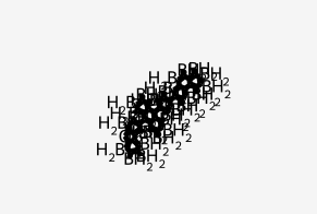 Bc1c(B)c(-c2c3c(B)c(B)c(B)c(B)c3c(-c3c(B)c(B)c4oc5c(B)c(B)c(B)c(B)c5c4c3B)c3c(B)c(B)c(B)c(B)c23)c(B)c(B)c1-c1c(B)c(B)c2c(c1B)c(B)c(B)c1c(B)c(B)c(B)c(B)c12